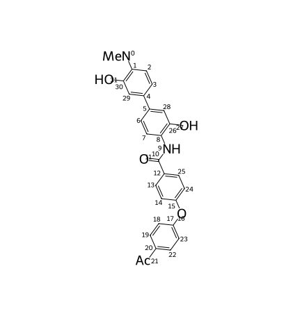 CNc1ccc(-c2ccc(NC(=O)c3ccc(Oc4ccc(C(C)=O)cc4)cc3)c(O)c2)cc1O